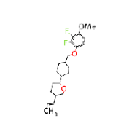 C/C=C/C1CCC(C2CCC(COc3ccc(OC)c(F)c3F)CC2)OC1